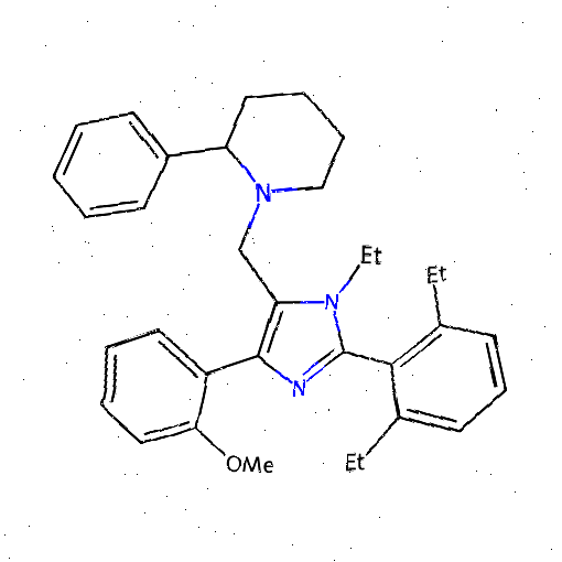 CCc1cccc(CC)c1-c1nc(-c2ccccc2OC)c(CN2CCCCC2c2ccccc2)n1CC